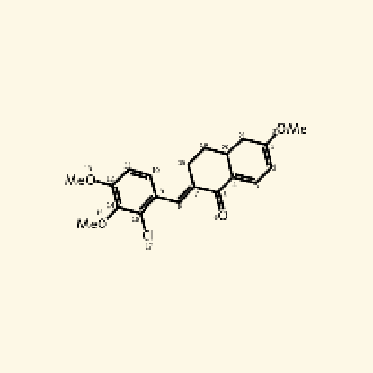 COC1=CC=C2C(=O)C(=Cc3ccc(OC)c(OC)c3Cl)CCC2C1